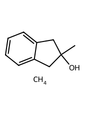 C.CC1(O)Cc2ccccc2C1